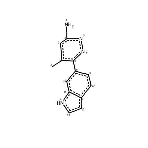 Cc1cc(N)nnc1-c1ccc2cc[nH]c2c1